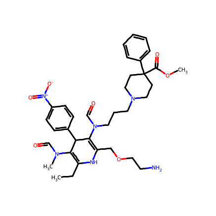 CCC1=C(N(C)C=O)C(c2ccc([N+](=O)[O-])cc2)C(N(C=O)CCCN2CCC(C(=O)OC)(c3ccccc3)CC2)=C(COCCN)N1